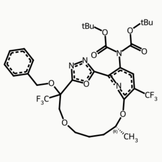 C[C@@H]1CCCOCC(OCc2ccccc2)(C(F)(F)F)c2nnc(o2)-c2nc(c(C(F)(F)F)cc2N(C(=O)OC(C)(C)C)C(=O)OC(C)(C)C)O1